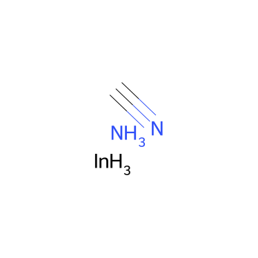 C#N.N.[InH3]